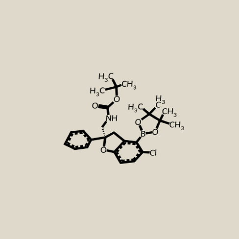 CC(C)(C)OC(=O)NC[C@]1(c2ccccc2)Cc2c(ccc(Cl)c2B2OC(C)(C)C(C)(C)O2)O1